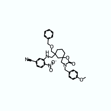 COc1ccc(CN2CC3(CCCC(CNc4cc(C#N)ccc4[N+](=O)[O-])(COCc4ccccc4)C3)OC2=O)cc1